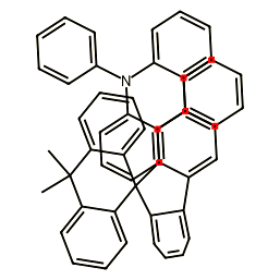 CC1(C)c2ccccc2C2(c3ccccc3-c3ccc(-c4ccccc4N(c4ccccc4)c4ccccc4-c4ccccc4)cc32)c2ccccc21